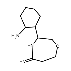 N=C1CCOCC(C2CCCCC2N)N1